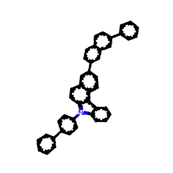 c1ccc(-c2ccc(-n3c4ccccc4c4c5ccc(-c6ccc7ccc(-c8ccccc8)cc7c6)cc5ccc43)cc2)cc1